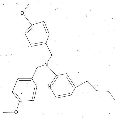 CCCCc1ccnc(N(Cc2ccc(OC)cc2)Cc2ccc(OC)cc2)c1